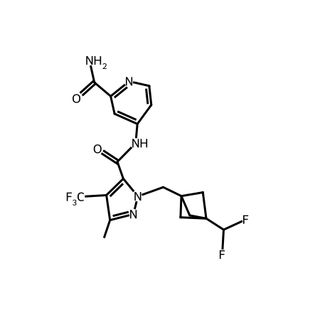 Cc1nn(CC23CC(C(F)F)(C2)C3)c(C(=O)Nc2ccnc(C(N)=O)c2)c1C(F)(F)F